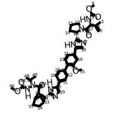 C=C(C)[C@H](NC(=O)OC)C(=O)N1CCC[C@H]1c1ncc(-c2ccc(-c3ccc(-c4cnc([C@@H]5C6CCC(C6)C5C(=O)N(NC(=O)OC)C(C)C)[nH]4)cc3)c(OC)c2)[nH]1